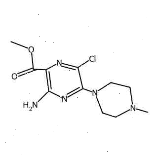 COC(=O)c1nc(Cl)c(N2CCN(C)CC2)nc1N